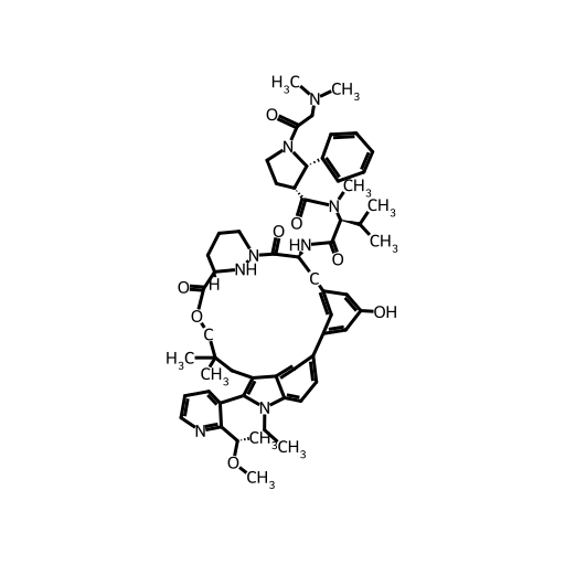 CCn1c(-c2cccnc2[C@H](C)OC)c2c3cc(ccc31)-c1cc(O)cc(c1)C[C@H](NC(=O)[C@H](C(C)C)N(C)C(=O)[C@@H]1CCN(C(=O)CN(C)C)[C@@H]1c1ccccc1)C(=O)N1CCC[C@H](N1)C(=O)OCC(C)(C)C2